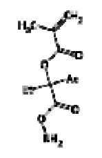 C=C(C)C(=O)OC(CC)(C(C)=O)C(=O)ON